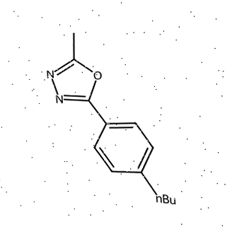 CCCCc1ccc(-c2nnc(C)o2)cc1